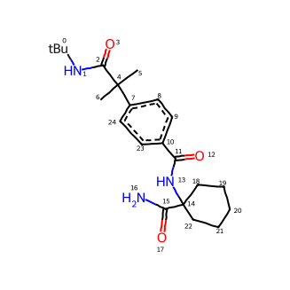 CC(C)(C)NC(=O)C(C)(C)c1ccc(C(=O)NC2(C(N)=O)CCCCC2)cc1